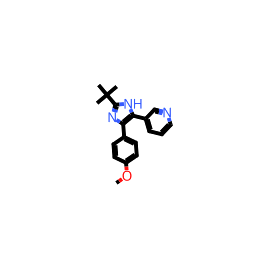 COc1ccc(-c2nc(C(C)(C)C)[nH]c2-c2cccnc2)cc1